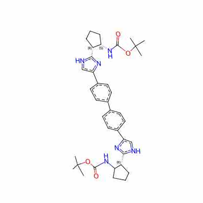 CC(C)(C)OC(=O)NC1CCC[C@H]1c1nc(-c2ccc(-c3ccc(-c4c[nH]c([C@@H]5CCC[C@@H]5NC(=O)OC(C)(C)C)n4)cc3)cc2)c[nH]1